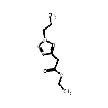 CCCn1nnc(CC(=O)OCC)n1